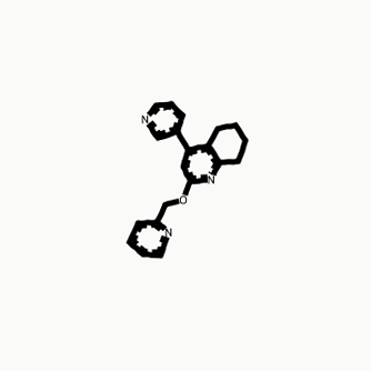 c1ccc(COc2cc(-c3cccnc3)c3c(n2)CCCC3)nc1